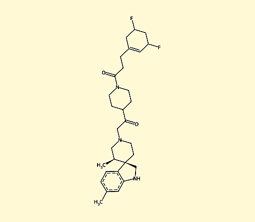 Cc1ccc2c(c1)NC[C@@]21CCN(CC(=O)C2CCN(C(=O)CCC3=CC(F)CC(F)C3)CC2)C[C@@H]1C